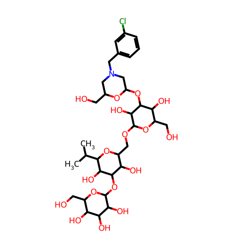 CC(C)C1OC(COC2OC(CO)C(O)C(OC3CN(Cc4cccc(Cl)c4)CC(CO)O3)C2O)C(O)C(OC2OC(CO)C(O)C(O)C2O)C1O